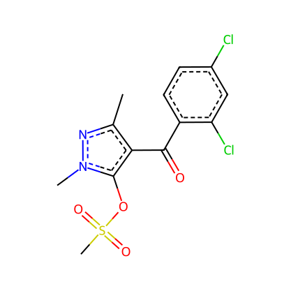 Cc1nn(C)c(OS(C)(=O)=O)c1C(=O)c1ccc(Cl)cc1Cl